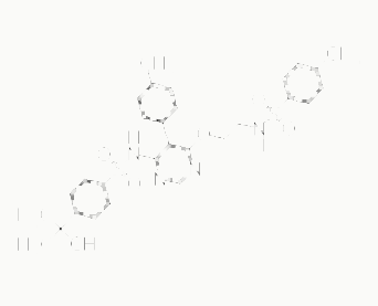 Cc1ccc(-c2c(NS(=O)(=O)c3ccc(C(C)(C)C)cc3)ncnc2OCCNS(=O)(=O)c2ccc(C)cc2)cc1